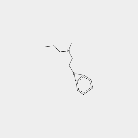 CCCN(C)CCN1c2ccccc21